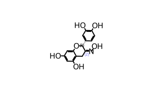 O/N=C1/Cc2c(O)cc(O)cc2O[C@@H]1c1ccc(O)c(O)c1